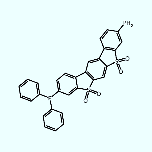 O=S1(=O)c2cc(P)ccc2-c2cc3c(cc21)S(=O)(=O)c1cc(P(c2ccccc2)c2ccccc2)ccc1-3